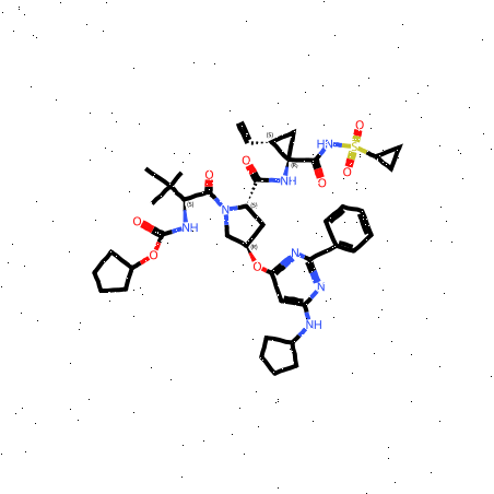 C=C[C@@H]1C[C@]1(NC(=O)[C@@H]1C[C@@H](Oc2cc(NC3CCCC3)nc(-c3ccccc3)n2)CN1C(=O)[C@@H](NC(=O)OC1CCCC1)C(C)(C)C)C(=O)NS(=O)(=O)C1CC1